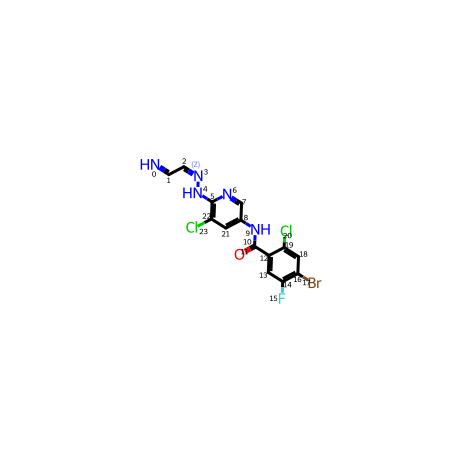 N=C/C=N\Nc1ncc(NC(=O)c2cc(F)c(Br)cc2Cl)cc1Cl